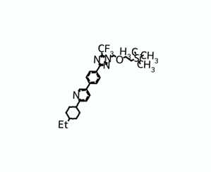 CCC1CCC(c2ccc(-c3ccc(-c4nc(C(F)(F)F)n(COCC[Si](C)(C)C)n4)cc3)cn2)CC1